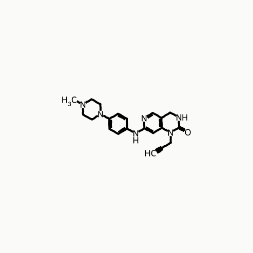 C#CCN1C(=O)NCc2cnc(Nc3ccc(N4CCN(C)CC4)cc3)cc21